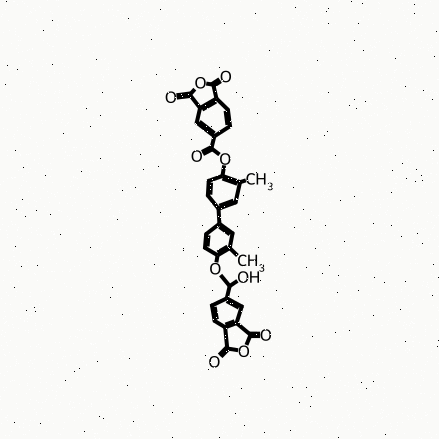 Cc1cc(-c2ccc(OC(O)c3ccc4c(c3)C(=O)OC4=O)c(C)c2)ccc1OC(=O)c1ccc2c(c1)C(=O)OC2=O